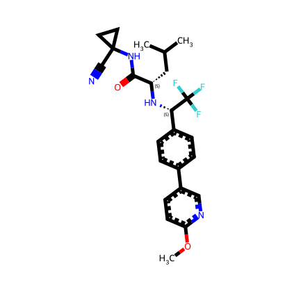 COc1ccc(-c2ccc([C@H](N[C@@H](CC(C)C)C(=O)NC3(C#N)CC3)C(F)(F)F)cc2)cn1